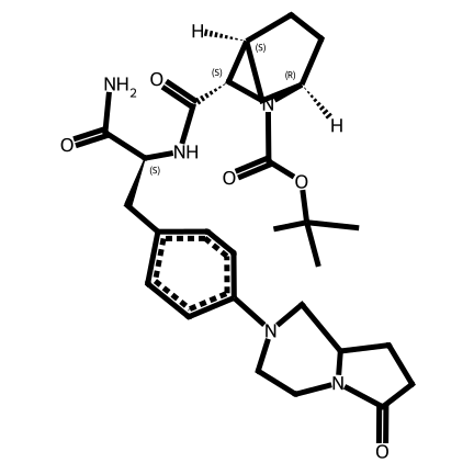 CC(C)(C)OC(=O)N1[C@@H]2CC[C@@H](C2)[C@H]1C(=O)N[C@@H](Cc1ccc(N2CCN3C(=O)CCC3C2)cc1)C(N)=O